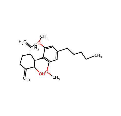 C=C1CC[C@H](C(=C)C)[C@@H](c2c(OC)cc(CCCCC)cc2OC)C1O